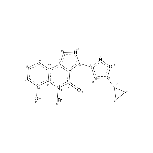 CC(C)n1c(=O)c2c(-c3noc(C4CC4)n3)ncn2c2cccc(O)c21